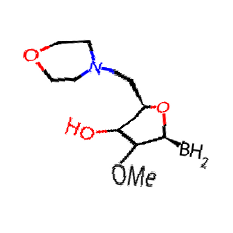 B[C@@H]1O[C@H](CN2CCOCC2)C(O)C1OC